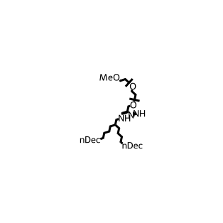 CCCCCCCCCCCCCCC(CCCCCCCCCCCCCC)CN/C=C(/COC(C)(C)CCOC(C)(C)CCOC)N=N